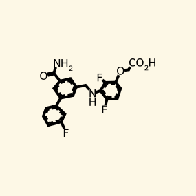 NC(=O)c1cc(CNc2c(F)ccc(OCC(=O)O)c2F)cc(-c2cccc(F)c2)c1